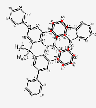 CC1(C)c2cc(-c3ccccc3)cc(-c3ccccc3)c2N(B2c3ccccc3-n3c4ccccc4c4cccc2c43)c2c(-c3ccccc3)cc(-c3ccccc3)cc21